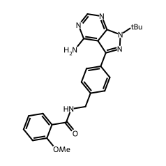 COc1ccccc1C(=O)NCc1ccc(-c2nn(C(C)(C)C)c3ncnc(N)c23)cc1